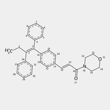 CC/C(=C(\c1ccccc1)c1ccc(/C=C/C(=O)N2CCOCC2)cc1)c1ccccc1